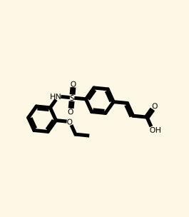 CCOc1ccccc1NS(=O)(=O)c1ccc(C=CC(=O)O)cc1